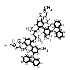 COCCOCOc1c(-c2cc(OC)ccc2O[C@@H](C)C[C@H](C)Oc2ccc(OC)cc2-c2cc(C)cc(-n3c4ccccc4c4ccccc43)c2OCOCCOC)cc(C)cc1-n1c2ccccc2c2ccccc21